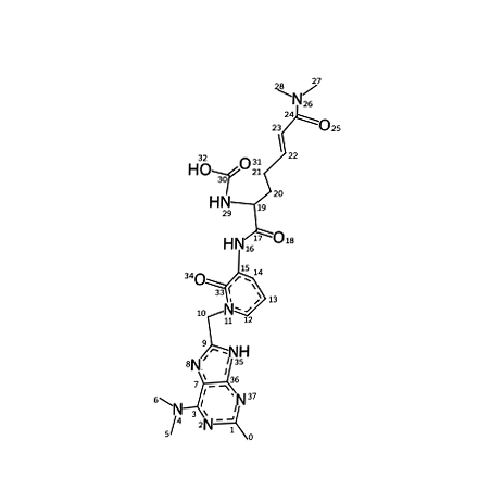 Cc1nc(N(C)C)c2nc(Cn3cccc(NC(=O)C(CC/C=C/C(=O)N(C)C)NC(=O)O)c3=O)[nH]c2n1